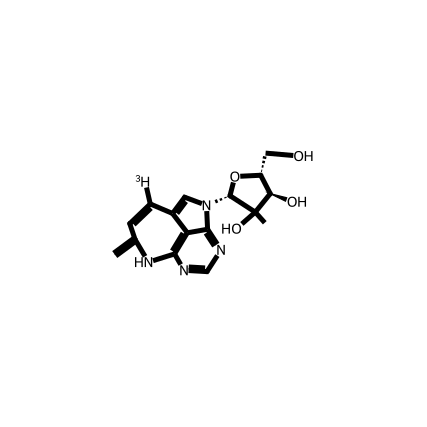 [3H]c1cc(=C)[nH]c2ncnc3c2c1cn3[C@@H]1O[C@H](CO)[C@@H](O)C1(C)O